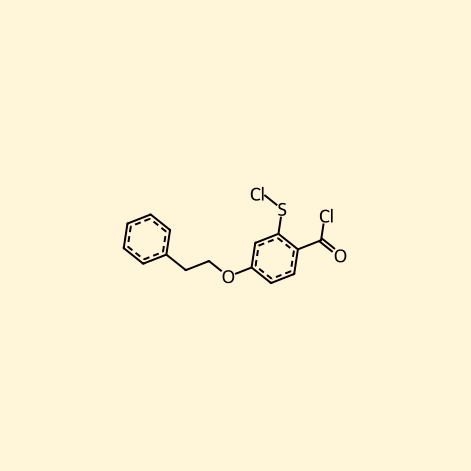 O=C(Cl)c1ccc(OCCc2ccccc2)cc1SCl